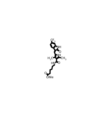 COC(=O)CCCCCNC(=O)c1c(C)[nH]c(/C=C2\C(=O)Nc3cc(C(F)(F)F)ccc32)c1C